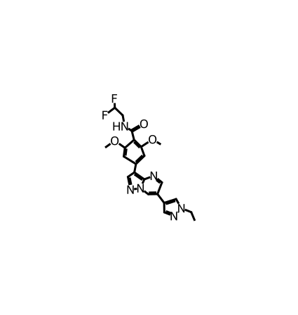 CCn1cc(-c2cnc3c(-c4cc(OC)c(C(=O)NCC(F)F)c(OC)c4)cnn3c2)cn1